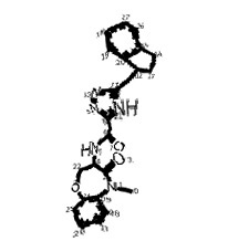 CN1C(=O)C(NC(=O)c2nnc(C3CCc4ccccc43)[nH]2)COc2ccccc21